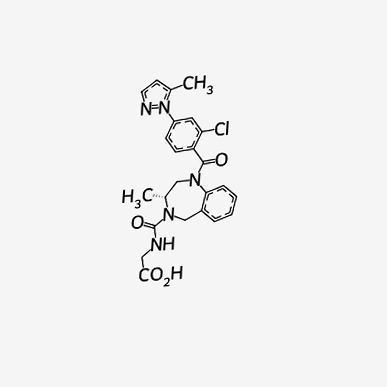 Cc1ccnn1-c1ccc(C(=O)N2C[C@@H](C)N(C(=O)NCC(=O)O)Cc3ccccc32)c(Cl)c1